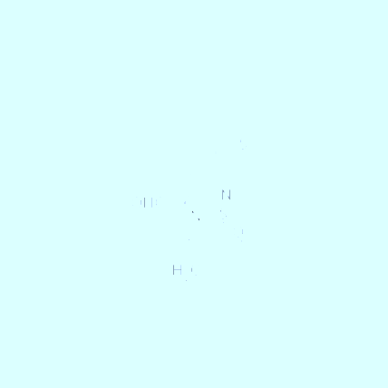 C=CCN1C(C=O)=CC(c2cccs2)=N[S+]1[O-]